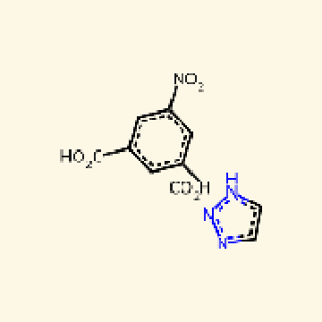 O=C(O)c1cc(C(=O)O)cc([N+](=O)[O-])c1.c1c[nH]nn1